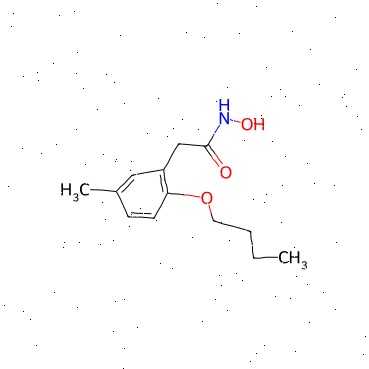 CCCCOc1ccc(C)cc1CC(=O)NO